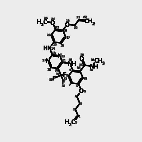 C=CCCCOc1ccc(Nc2nc(Nc3ccc(OCC=C)c(OC)c3)ncc2C(F)(F)F)c(C(=O)NC)c1